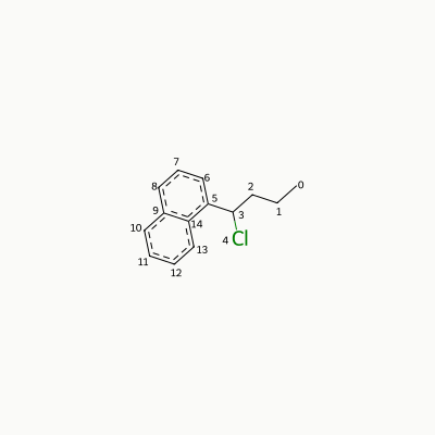 CCCC(Cl)c1cccc2ccccc12